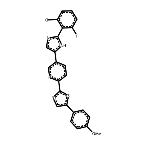 COc1ccc(-c2cnc(-c3ccc(-c4cnc(-c5c(F)cccc5Cl)[nH]4)cn3)s2)cc1